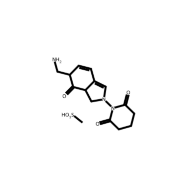 CS(=O)(=O)O.NCC1C=CC2=CN(N3C(=O)CCCC3=O)CC2C1=O